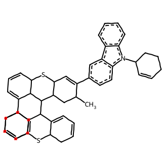 CC1CC2C(C=C1c1ccc3c(c1)c1ccccc1n3C1C=CCCC1)SC1C=CC=C(C3CC=CCC3)C1C2C1C2=CC=CCC2SC2=C1CCC=C2